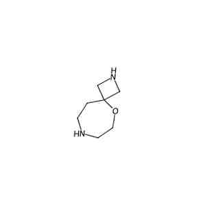 C1COC2(CCN1)CNC2